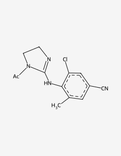 CC(=O)N1CCN=C1Nc1c(C)cc(C#N)cc1Cl